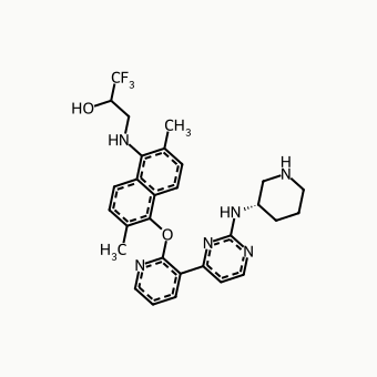 Cc1ccc2c(Oc3ncccc3-c3ccnc(N[C@H]4CCCNC4)n3)c(C)ccc2c1NCC(O)C(F)(F)F